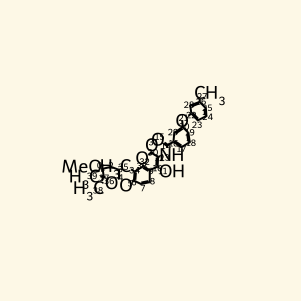 COC1CCC(Oc2ccc3c(O)c(NC(=O)c4cccc(Oc5cccc(C)c5)c4)c(=O)oc3c2C)OC1(C)C